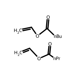 C=COC(=O)CCC.C=COC(=O)CCCC